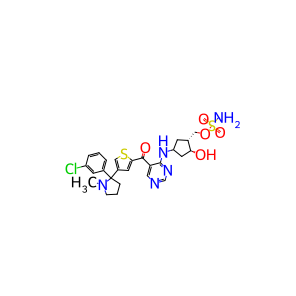 CN1CCCC1(c1cccc(Cl)c1)c1csc(C(=O)c2cncnc2NC2C[C@H](COS(N)(=O)=O)[C@@H](O)C2)c1